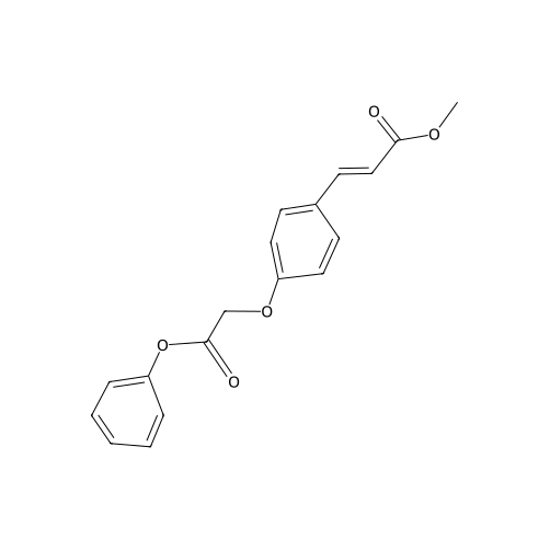 COC(=O)C=Cc1ccc(OCC(=O)Oc2ccccc2)cc1